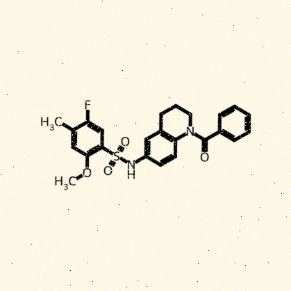 COc1cc(C)c(F)cc1S(=O)(=O)Nc1ccc2c(c1)CCCN2C(=O)c1ccccc1